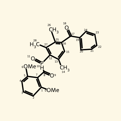 COc1cccc(OC)c1C(=O)[PH](=O)c1c(C)cc(C(=O)c2ccccc2)c(C)c1C